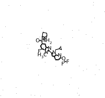 Cn1c(-c2cc3ccc(OC(F)F)nc3n2CC2CC2)nc2cc(C(=O)N3CC4CCC3C4N)cc(F)c21